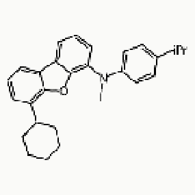 CC(C)c1ccc(N(I)c2cccc3c2oc2c(C4CCCCC4)cccc23)cc1